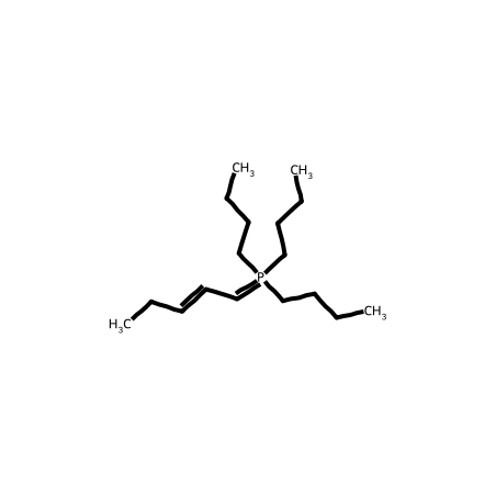 CCC=CC=P(CCCC)(CCCC)CCCC